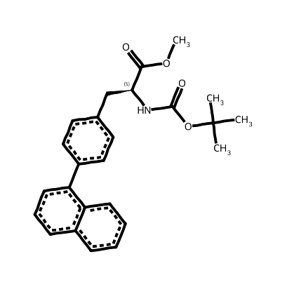 COC(=O)[C@H](Cc1ccc(-c2cccc3ccccc23)cc1)NC(=O)OC(C)(C)C